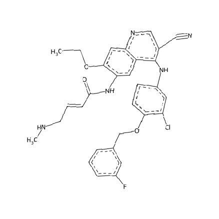 CCOc1cc2ncc(C#N)c(Nc3ccc(OCc4cccc(F)c4)c(Cl)c3)c2cc1NC(=O)C=CCNC